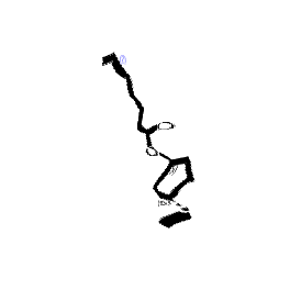 C=C[C@H]1CC[C@H](OC(=O)CCC/C=C\C)C1